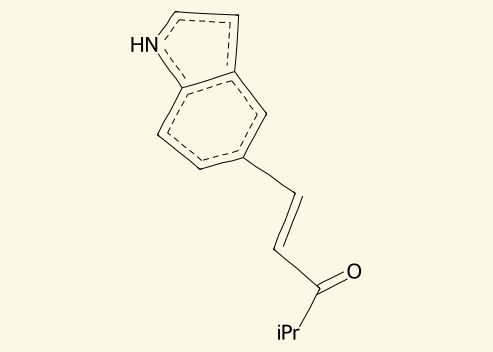 CC(C)C(=O)/C=C/c1ccc2[nH]ccc2c1